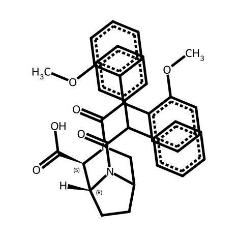 COc1ccccc1C(C(=O)N1CC2CC[C@H]([C@H]1C(=O)O)N2C(=O)C(c1ccccc1)c1ccccc1)c1ccccc1OC